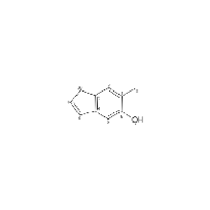 Cc1cc2c(cc1O)C=CC2